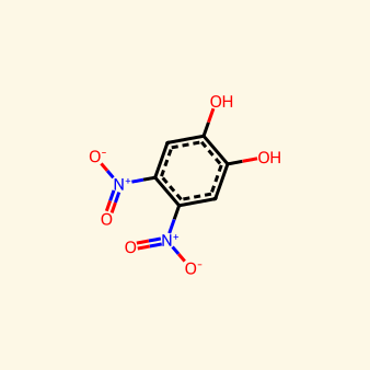 O=[N+]([O-])c1cc(O)c(O)cc1[N+](=O)[O-]